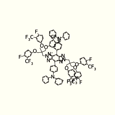 Fc1ccc(OCC(COc2ccc(F)c(C(F)(F)F)c2)(COc2ccc(F)c(C(F)(F)F)c2)Cn2nc3c(-c4ccc(N(c5ccccc5)c5ccccc5)cc4)c4n[n+](CC(COc5ccc(F)c(C(F)(F)F)c5)(COc5ccc(F)c(C(F)(F)F)c5)COc5ccc(F)c(C(F)(F)F)c5)[n-]c4c(-c4ccc(N(c5ccccc5)c5ccccc5)cc4)c3n2)cc1C(F)(F)F